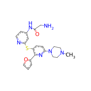 CN1CCN(c2ccc(Sc3cc(NC(=O)CN)ccn3)c(-c3ccco3)n2)CC1